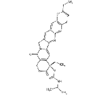 CC[C@@]1(OC(=O)NC(C)C)C(=O)OCc2c1cc1n(c2=O)Cc2cc3cc(OC(=O)CN)c(F)cc3nc2-1